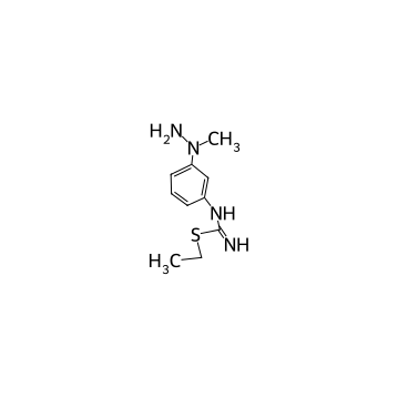 CCSC(=N)Nc1cccc(N(C)N)c1